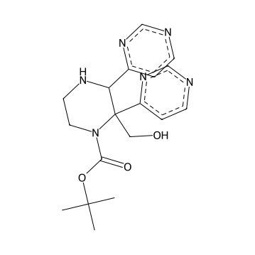 CC(C)(C)OC(=O)N1CCNC(c2ccncn2)C1(CO)c1ccncn1